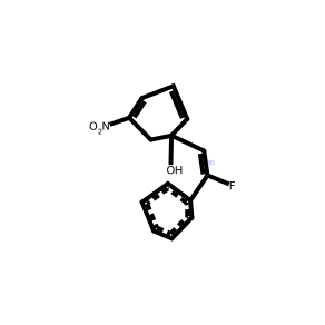 O=[N+]([O-])C1=CC=CC(O)(/C=C(/F)c2ccccc2)C1